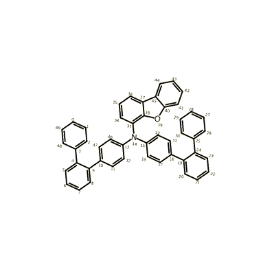 c1ccc(-c2ccccc2-c2ccc(N(c3ccc(-c4ccccc4-c4ccccc4)cc3)c3cccc4c3oc3ccccc34)cc2)cc1